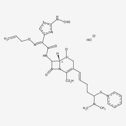 C=CCON=C(C(=O)NC1C(=O)N2C(C(=O)O)=C(C=CCCC(S[n+]3ccccc3)N(C)C)C[S+]([O-])[C@@H]12)c1csc(NC=O)n1.Cl.[Cl-]